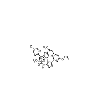 COc1cccc(-c2nnc(NS(=O)(=O)[C@@H](C)[C@H](OC)c3ncc(Cl)cn3)n2[C@H](C)C2CN(C)CCO2)n1